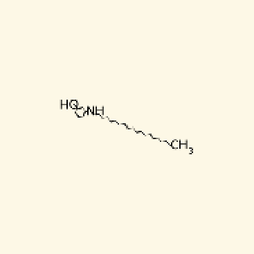 CCCCCC=CCC=CCC=CCC=CCCCCNc1cccc(O)c1